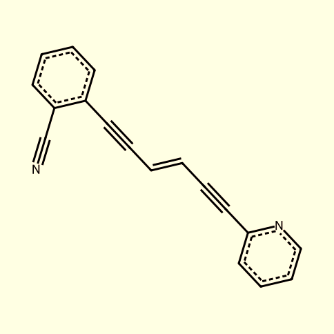 N#Cc1ccccc1C#C/C=C/C#Cc1ccccn1